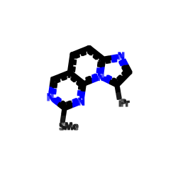 CSc1ncc2ccc3ncc(C(C)C)n3c2n1